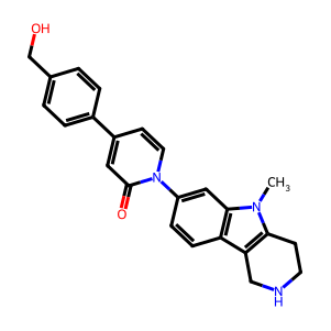 Cn1c2c(c3ccc(-n4ccc(-c5ccc(CO)cc5)cc4=O)cc31)CNCC2